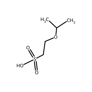 CC(C)OCCS(=O)(=O)O